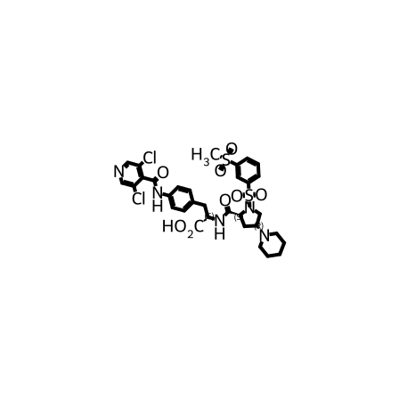 CS(=O)(=O)c1cccc(S(=O)(=O)N2C[C@H](N3CCCCC3)C[C@H]2C(=O)N[C@@H](Cc2ccc(NC(=O)c3c(Cl)cncc3Cl)cc2)C(=O)O)c1